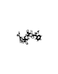 CON=C(C(=O)NC1C(=O)N2CC(C(=O)O)(c3nnc(N(C)C)s3)CS[C@H]12)c1ccccc1